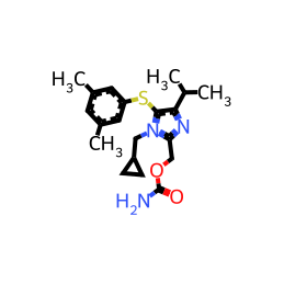 Cc1cc(C)cc(Sc2c(C(C)C)nc(COC(N)=O)n2CC2CC2)c1